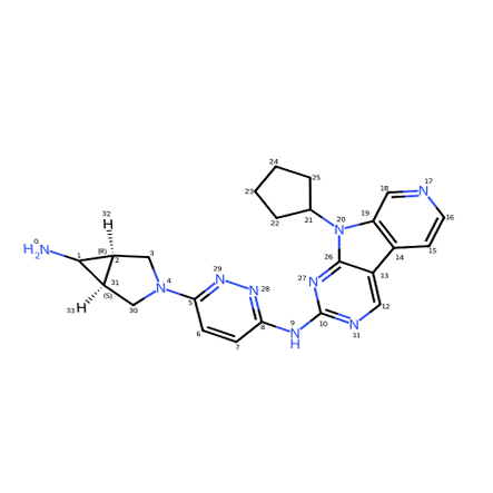 NC1[C@H]2CN(c3ccc(Nc4ncc5c6ccncc6n(C6CCCC6)c5n4)nn3)C[C@@H]12